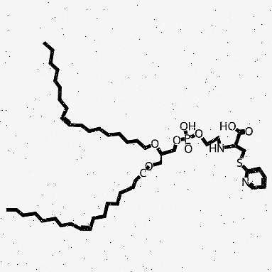 CCCCCCCC/C=C\CCCCCCCCOC[C@H](COP(=O)(O)OCCNC(CSc1ccccn1)C(=O)O)OCCCCCCCC/C=C\CCCCCCCC